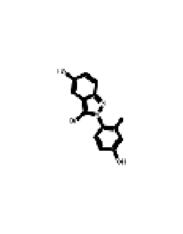 Oc1ccc(-n2nc3ccc(O)cc3c2Br)c(I)c1